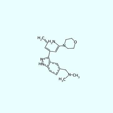 C=C/C=C(\C=C(/N)N1CCOCC1)c1n[nH]c2ccc(CN(C)C)cc12